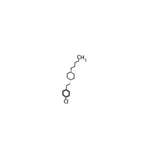 CCCCC[C@H]1CC[C@H](CCc2ccc(Cl)cc2)CC1